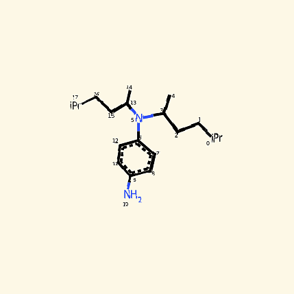 CC(C)CCC(C)N(c1ccc(N)cc1)C(C)CCC(C)C